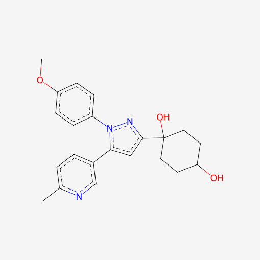 COc1ccc(-n2nc(C3(O)CCC(O)CC3)cc2-c2ccc(C)nc2)cc1